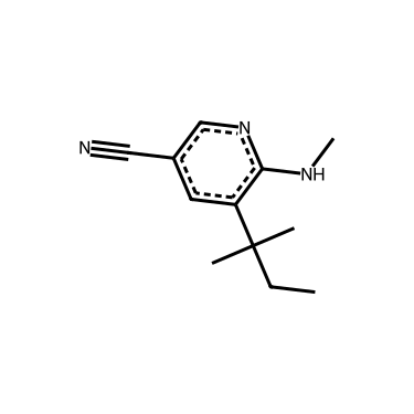 CCC(C)(C)c1cc(C#N)cnc1NC